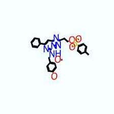 COc1ccc(CNc2nc(-c3ccccc3)cc3nc(CCOS(=O)(=O)c4ccc(C)cc4)nn23)c(OC)c1